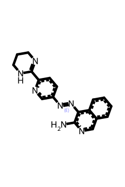 Nc1ncc2ccccc2c1/N=N/c1ccc(C2=NCCCN2)nc1